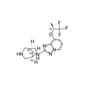 C[C@H](Oc1cccn2nc(N[C@@H]3[C@@H]4CC[C@H]3CNC4)nc12)C(F)(F)F